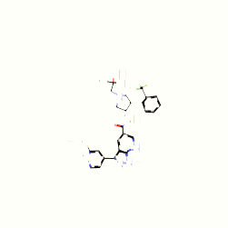 Cc1cc(-c2n[nH]c3ncc(C(=O)N[C@H]4CN(CC(C)(C)O)C[C@@H]4c4ccccc4C(F)(F)F)cc23)ccn1